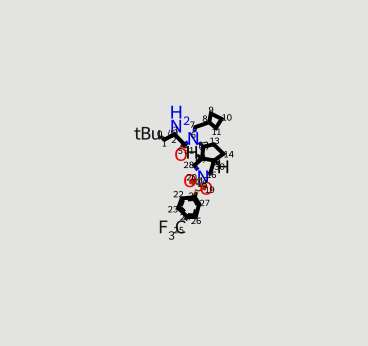 CC(C)(C)C[C@H](N)C(=O)N(CC1CCC1)[C@H]1CC[C@@H]2CN(S(=O)(=O)c3ccc(C(F)(F)F)cc3)C[C@@H]21